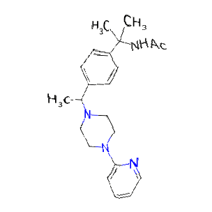 CC(=O)NC(C)(C)c1ccc(C(C)N2CCN(c3ccccn3)CC2)cc1